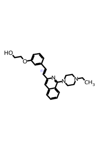 CCN1CCN(c2nc(/C=C/c3cccc(OCCO)c3)cc3ccccc23)CC1